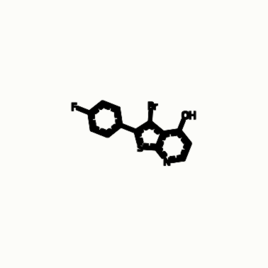 Oc1ccnc2sc(-c3ccc(F)cc3)c(Br)c12